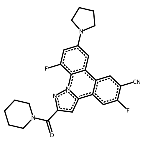 N#Cc1cc2c(cc1F)c1cc(C(=O)N3CCCCC3)nn1c1c(F)cc(N3CCCC3)cc21